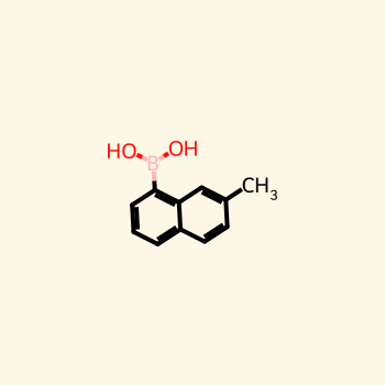 Cc1ccc2cccc(B(O)O)c2c1